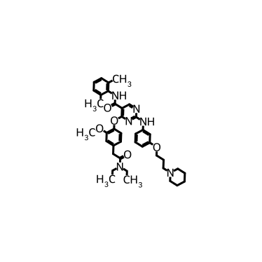 CCN(CC)C(=O)Cc1ccc(Oc2nc(Nc3cccc(OCCCN4CCCCC4)c3)ncc2C(=O)Nc2c(C)cccc2C)c(OC)c1